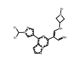 CCC(CC)n1cc(-c2nc(/C(C=N)=C/NC3CN(C(C)=O)C3)cn3nccc23)cn1